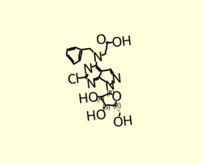 O=C(O)CN(Cc1ccccc1)c1nc(Cl)nc2c1cnn2[C@@H]1O[C@H](CO)[C@@H](O)[C@H]1O